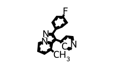 Cc1cccn2nc(-c3ccc(F)cc3)c(-c3ccncc3)c12